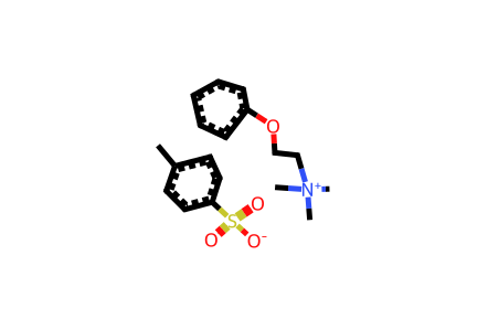 C[N+](C)(C)CCOc1ccccc1.Cc1ccc(S(=O)(=O)[O-])cc1